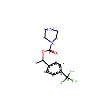 CC(OC(=O)N1CCNCC1)c1ccc(C(F)(F)F)cc1